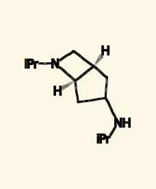 CC(C)NC1C[C@@H]2CN(C(C)C)[C@@H]2C1